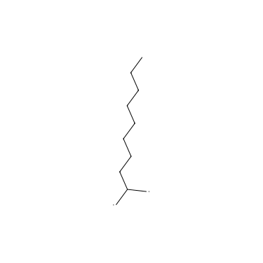 [CH2]C([CH2])CCCCCCCC